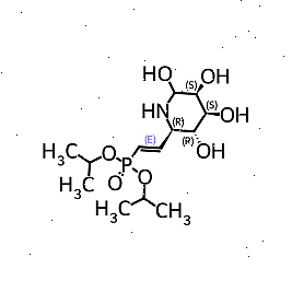 CC(C)OP(=O)(/C=C/[C@H]1NC(O)[C@@H](O)[C@@H](O)[C@@H]1O)OC(C)C